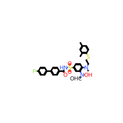 Cc1ccc(SCCN(C)c2ccc(S(=O)(=O)NC(=O)c3ccc(-c4ccc(F)cc4)cc3)cc2N(O)C=O)c(C)c1